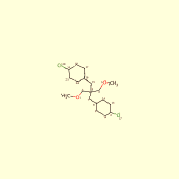 COCC(COC)(CC1CCC(Cl)CC1)CC1CCC(Cl)CC1